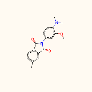 COc1cc(N2C(=O)c3ccc(C)cc3C2=O)ccc1N(C)C